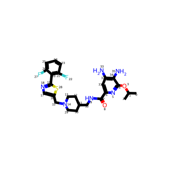 CC(C)Oc1nc(C(=O)NCC2CCN(Cc3cnc(-c4c(F)cccc4F)s3)CC2)cc(N)c1N